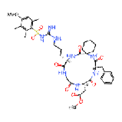 COc1cc(C)c(S(=O)(=O)NC(=N)NCCC[C@@H]2NC(=O)C3(CCCCC3)NC(=O)[C@@H](Cc3ccccc3)NC(=O)[C@H](CC(=O)OC(C)(C)C)NC(=O)CNC2=O)c(C)c1C